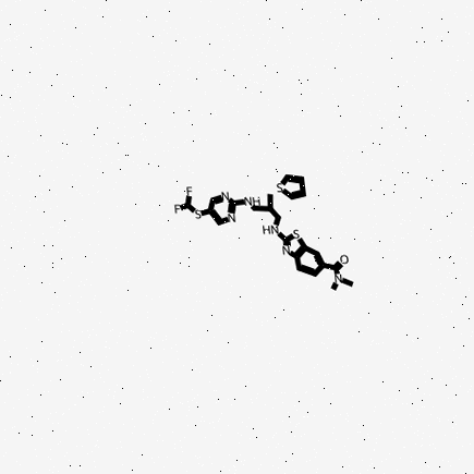 CC(CNc1ncc(SC(F)F)cn1)CNc1nc2ccc(C(=O)N(C)C)cc2s1.c1ccsc1